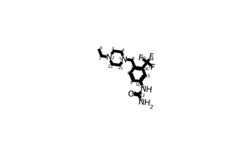 CCN1CCN(Cc2ccc(NC(N)=O)cc2C(F)(F)F)CC1